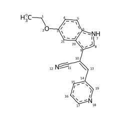 CCOc1ccc2[nH]cc(C(C#N)=Cc3cccnc3)c2c1